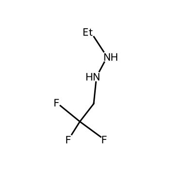 CCNNCC(F)(F)F